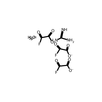 N=C(N)N.O.O=C([O-])C(=O)F.O=C([O-])C(=O)F.O=C([O-])C(=O)F.[Sb+3]